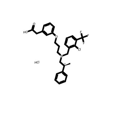 C[C@H](CN(CCCOc1cccc(CC(=O)O)c1)Cc1cccc(C(F)(F)F)c1Cl)c1ccccc1.Cl